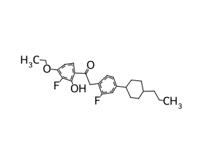 CCCC1CCC(c2ccc(CC(=O)c3ccc(OCC)c(F)c3O)c(F)c2)CC1